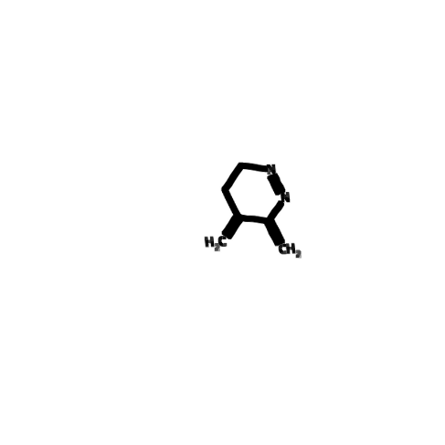 C=C1CCN=NC1=C